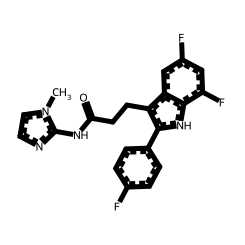 Cn1ccnc1NC(=O)CCc1c(-c2ccc(F)cc2)[nH]c2c(F)cc(F)cc12